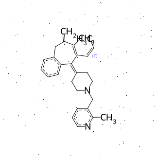 C=C1Cc2ccccc2C(=C2CCN(Cc3cccnc3C)CC2)C(/C=C\C)=C1C